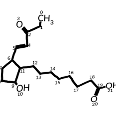 CCC(=O)C=CC1CCC(O)C1CCCCCCCC(=O)O